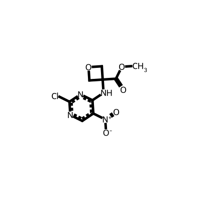 COC(=O)C1(Nc2nc(Cl)ncc2[N+](=O)[O-])COC1